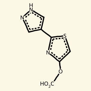 O=C(O)Oc1csc(-c2cn[nH]c2)n1